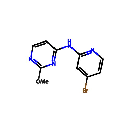 COc1nccc(Nc2cc(Br)ccn2)n1